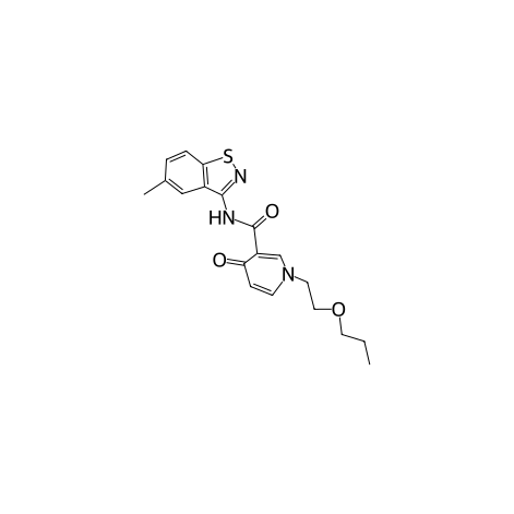 CCCOCCn1ccc(=O)c(C(=O)Nc2nsc3ccc(C)cc23)c1